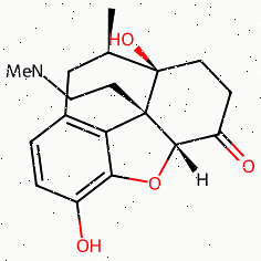 CNCC[C@]12c3c4ccc(O)c3O[C@H]1C(=O)CC[C@@]2(O)[C@H](C)C4